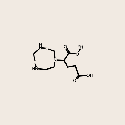 [2H]OC(=O)C(CCC(=O)O)N1CCNCCNCC1